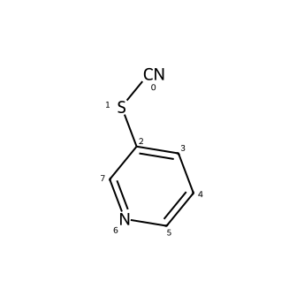 N#CSc1cccnc1